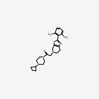 Cc1cccc(C)c1-c1nc2c(s1)CN(CC(=O)N1CCN(C3CCC3)CC1)CC2